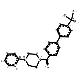 O=C(c1ccc(-c2ccc(C(F)(F)F)cc2)cc1)N1CCN(c2ccccn2)CC1